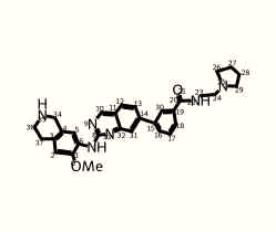 COc1cc2c(cc1Nc1ncc3ccc(-c4cccc(C(=O)NCCN5CCCC5)c4)cc3n1)CNCC2